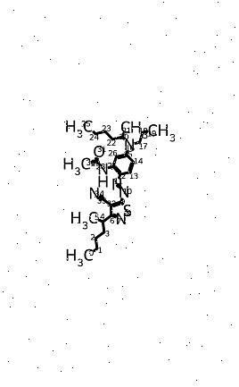 CCCCC(C)c1nsc(N=Nc2ccc(N(CCC)C(C)CCCC)cc2NC(C)=O)c1C#N